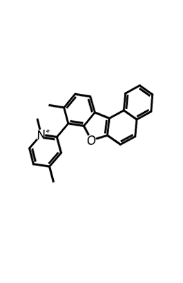 Cc1cc[n+](C)c(-c2c(C)ccc3c2oc2ccc4ccccc4c23)c1